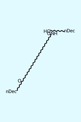 CCCCCCCCCCCCCCCCC(CO)NC(=O)CCCCCCCCCCCCCCCCCCCCCCCCCCCCCC(=O)CCCCCCCCCCCCCCC